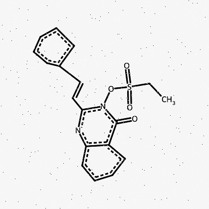 CCS(=O)(=O)On1c(C=Cc2ccccc2)nc2ccccc2c1=O